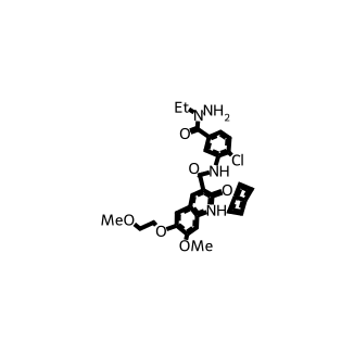 CCN(N)C(=O)c1ccc(Cl)c(NC(=O)c2cc3cc(OCCOC)c(OC)cc3[nH]c2=O)c1.c1cc2ccc1-2